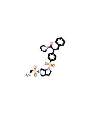 C=CS(=O)(=O)N1CC2CCN(S(=O)(=O)c3ccc(C(Cc4ccccc4)C(=O)N4CCCC4)cc3)C2C1